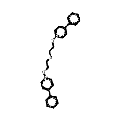 c1ccc(-c2cc[n+](OCCOCCO[n+]3ccc(-c4ccccc4)cc3)cc2)cc1